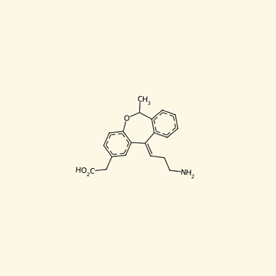 CC1Oc2ccc(CC(=O)O)cc2/C(=C/CCN)c2ccccc21